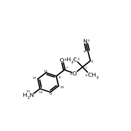 CC(C)(CC#N)OC(=O)c1ccc(N)cc1